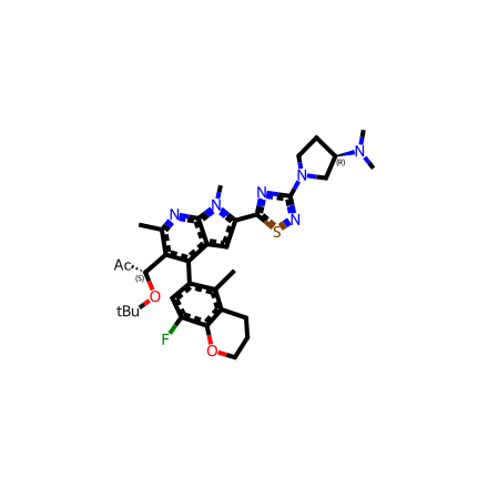 CC(=O)[C@@H](OC(C)(C)C)c1c(C)nc2c(cc(-c3nc(N4CC[C@@H](N(C)C)C4)ns3)n2C)c1-c1cc(F)c2c(c1C)CCCO2